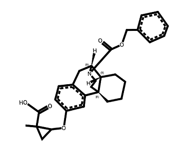 CC1(C(=O)O)CC1Oc1ccc2c(c1)[C@@]13CCCC[C@H]1[C@@H](C2)N(C(=O)OCc1ccccc1)CC3